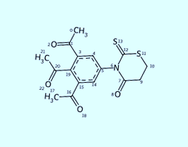 CC(=O)c1cc(N2C(=O)CCSC2=S)cc(C(C)=O)c1C(C)=O